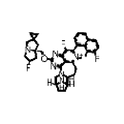 Cc1c(F)ccc2cccc(-c3c(F)c4nc(OC[C@@]56C[C@@H](F)CN5CC5(CC5)C6)nc5c4c([n+]3C)CC[C@@H]3[C@@H]4CC[C@H](CN53)N4)c12